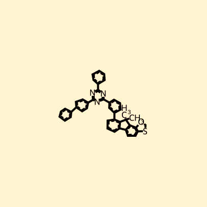 CC1(C)c2c(-c3cccc(-c4nc(-c5ccccc5)nc(-c5ccc(-c6ccccc6)cc5)n4)c3)cccc2-c2ccc3c(c21)OCS3